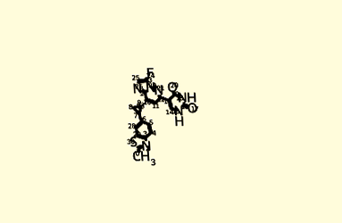 Cc1nc2ccc(C3C[C@@H]3c3cc(-c4c[nH]c(=O)[nH]c4=O)nn4c(F)cnc34)cc2s1